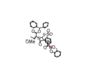 CO/C(C)=C(/C(=O)OC(c1ccccc1)c1ccccc1)N1C(=O)C(NC(=O)COc2ccccc2)C1SS(=O)(=O)c1ccc([N+](=O)[O-])cc1